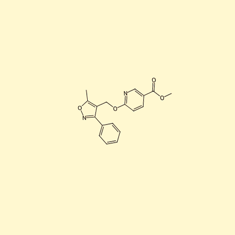 COC(=O)c1ccc(OCc2c(-c3ccccc3)noc2C)nc1